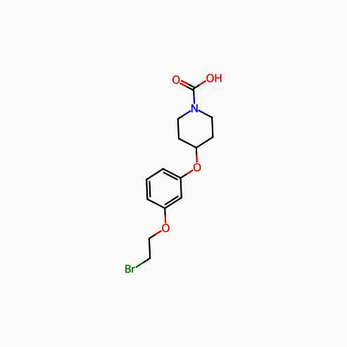 O=C(O)N1CCC(Oc2cccc(OCCBr)c2)CC1